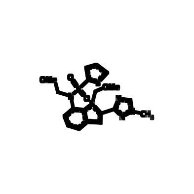 COCN(c1cccc2cc(-c3ncn(C)n3)n(COC)c12)S(=O)(=O)c1cccs1